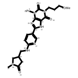 CCCn1c(=O)n(CCCOC)c(=O)c2[nH]c(-c3ccc(NCC4CC(=O)N(C)C4)nc3)nc21